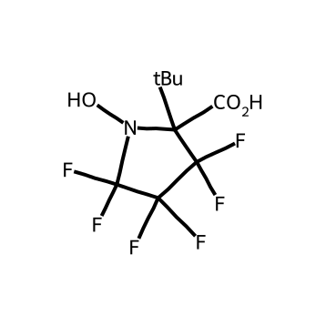 CC(C)(C)C1(C(=O)O)N(O)C(F)(F)C(F)(F)C1(F)F